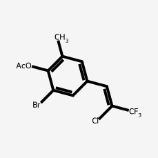 CC(=O)Oc1c(C)cc(C=C(Cl)C(F)(F)F)cc1Br